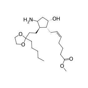 CCCCCC1(CC[C@H]2C(N)C[C@H](O)[C@@H]2C/C=C\CCCC(=O)OC)OCCO1